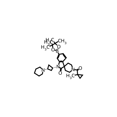 CC1(C(=O)N2CCC3(CC2)C(=O)N([C@H]2C[C@@H](N4CCCCC4)C2)c2cc(B4OC(C)(C)C(C)(C)O4)ccc23)CC1